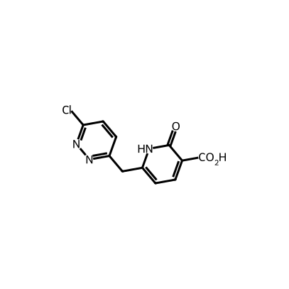 O=C(O)c1ccc(Cc2ccc(Cl)nn2)[nH]c1=O